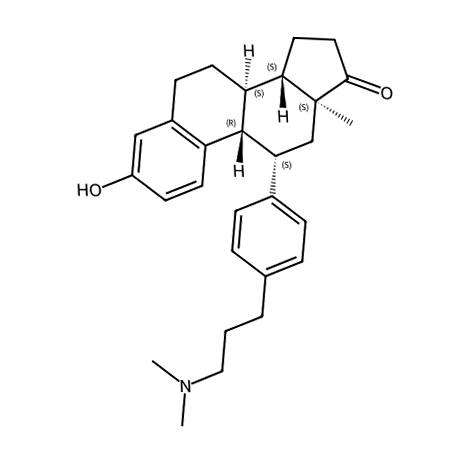 CN(C)CCCc1ccc([C@H]2C[C@]3(C)C(=O)CC[C@H]3[C@@H]3CCc4cc(O)ccc4[C@H]32)cc1